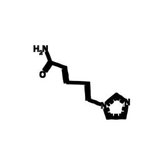 NC(=O)/C=C/C=C/n1ccnc1